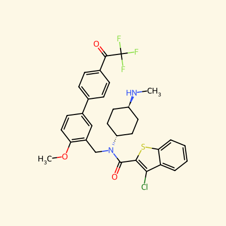 CN[C@H]1CC[C@H](N(Cc2cc(-c3ccc(C(=O)C(F)(F)F)cc3)ccc2OC)C(=O)c2sc3ccccc3c2Cl)CC1